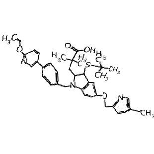 CCOc1ccc(-c2ccc(CN3c4ccc(OCc5ccc(C)cn5)cc4C(SC(C)(C)C)C3CC(C)(C)C(=O)O)cc2)cn1